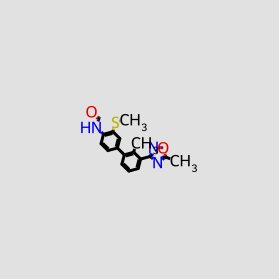 CSc1cc(-c2cccc(-c3noc(C)n3)c2C)ccc1NC=O